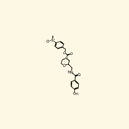 C[S+]([O-])c1ccc(COC(=O)N2CCOC(CNC(=O)c3ccc(O)cc3)C2)cc1